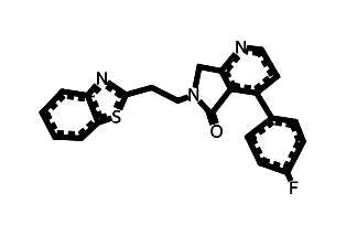 O=C1c2c(-c3ccc(F)cc3)ccnc2CN1CCc1nc2ccccc2s1